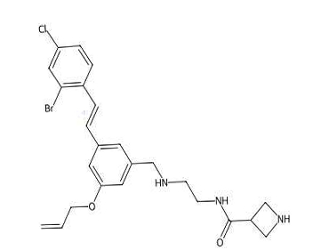 C=CCOc1cc(/C=C/c2ccc(Cl)cc2Br)cc(CNCCNC(=O)C2CNC2)c1